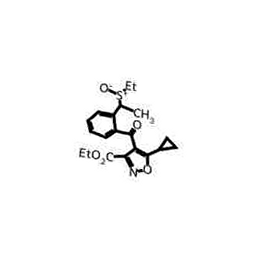 CCOC(=O)c1noc(C2CC2)c1C(=O)c1ccccc1C(C)[S+]([O-])CC